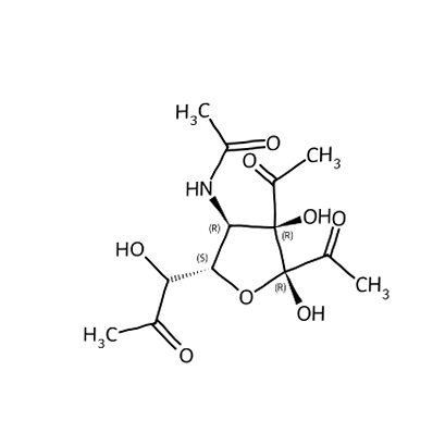 CC(=O)N[C@@H]1[C@@H](C(O)C(C)=O)O[C@@](O)(C(C)=O)[C@@]1(O)C(C)=O